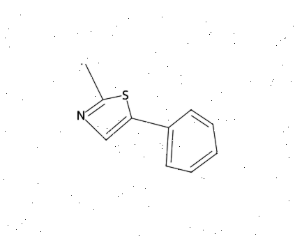 [CH2]c1ncc(-c2ccccc2)s1